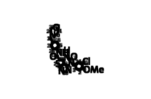 COc1ccc(N2C(=O)Nc3c(C(=O)Nc4ccc(CN5CCOCC5)cc4)sc4ncnc2c34)cc1Cl